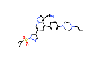 CC=CN1CCN(c2ccc(-c3cc(-c4cnn(S(=O)(=O)C5CC5)c4)cn4ncc(C#N)c34)cc2)CC1